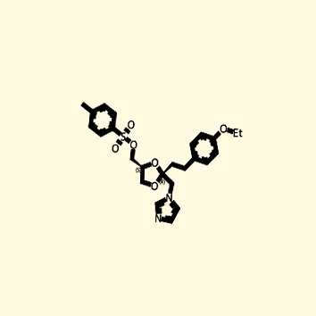 CCOc1ccc(CC[C@@]2(Cn3ccnc3)OC[C@@H](COS(=O)(=O)c3ccc(C)cc3)O2)cc1